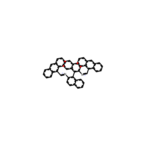 C(=N/c1ccc2ccccc2c1-c1c(/N=C/c2c3ccccc3cc3ccccc23)ccc2ccccc12)/c1c2ccccc2cc2ccccc12